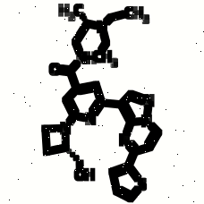 CCN(CC)[C@@H](C)CNC(=O)c1cc(-c2cnn3ccc(-c4cccs4)nc23)nc(N2CC[C@H]2CO)c1